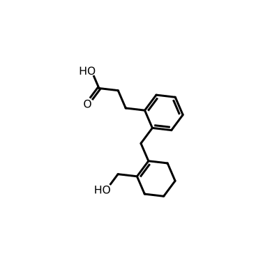 O=C(O)CCc1ccccc1CC1=C(CO)CCCC1